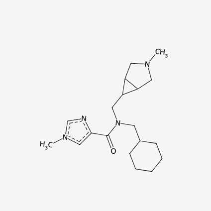 CN1CC2C(C1)C2CN(CC1CCCCC1)C(=O)c1cn(C)cn1